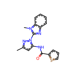 Cc1cc(NC(=O)c2cccs2)n(-c2nc3ccccc3n2C)n1